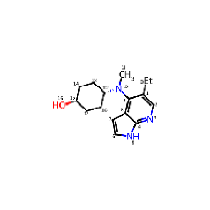 CCc1cnc2[nH]ccc2c1N(C)[C@H]1CC[C@H](O)CC1